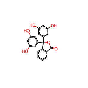 O=C1OC(c2cc(O)cc(O)c2)(c2cc(O)cc(O)c2)c2ccccc21